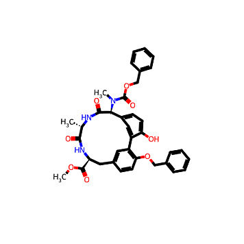 COC(=O)[C@@H]1Cc2ccc(OCc3ccccc3)c(c2)-c2cc(ccc2O)[C@H](N(C)C(=O)OCc2ccccc2)C(=O)N[C@@H](C)C(=O)N1